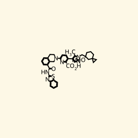 COC1(Cn2ncc(-c3ccc(N4CCc5cccc(C(=O)Nc6nc7ccccc7s6)c5C4)nc3C(=O)O)c2C)CCCC2(CC2)C1